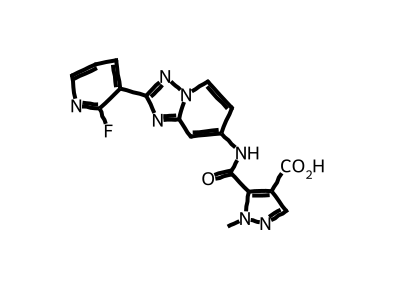 Cn1ncc(C(=O)O)c1C(=O)Nc1ccn2nc(-c3cccnc3F)nc2c1